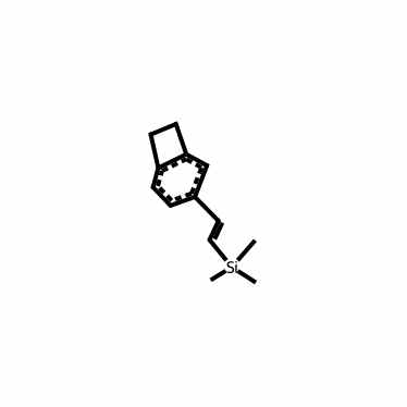 C[Si](C)(C)/C=C/c1ccc2c(c1)CC2